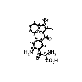 Cc1c(Br)c2ccccn2c1C(=O)c1ccc(N)c(C(=O)C(N)C(=O)O)c1